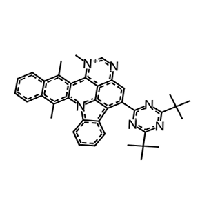 Cc1c2ccccc2c(C)c2c1c1c3c(cc(-c4nc(C(C)(C)C)nc(C(C)(C)C)n4)c4c5ccccc5n2c43)nc[n+]1C